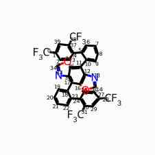 FC(F)(F)c1ccc(-c2ccccc2-c2c3ncoc3c(-c3ccccc3-c3ccc(C(F)(F)F)cc3C(F)(F)F)c3ncoc23)c(C(F)(F)F)c1